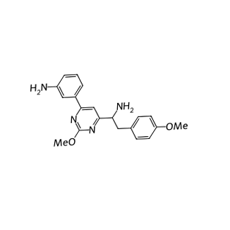 COc1ccc(CC(N)c2cc(-c3cccc(N)c3)nc(OC)n2)cc1